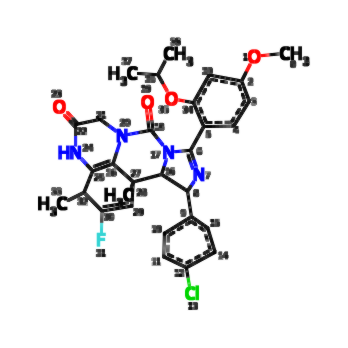 COc1ccc(C2=NC(c3ccc(Cl)cc3)C3N2C(=O)N2CC(=O)NC4=C2C3(C)C=C(F)C4C)c(OC(C)C)c1